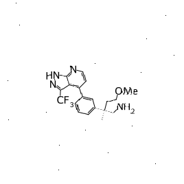 COCC[C@@](C)(CN)c1cccc(-c2ccnc3[nH]nc(C(F)(F)F)c23)c1